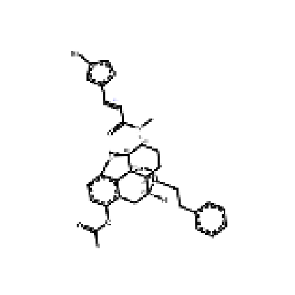 CC(=O)Oc1ccc2c3c1C[C@@H]1[C@@H]4CC[C@@H](N(C)C(=O)/C=C/c5cc(Br)cs5)[C@H](O2)[C@]34CCN1CCc1ccccc1